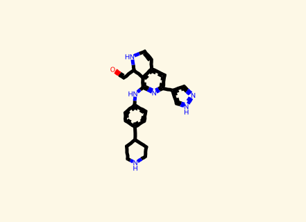 O=CC1NC=Cc2cc(-c3cn[nH]c3)nc(Nc3ccc(C4CCNCC4)cc3)c21